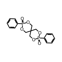 O=P1(c2ccccc2)OCC2(CO1)COP(=O)(c1ccccc1)OC2